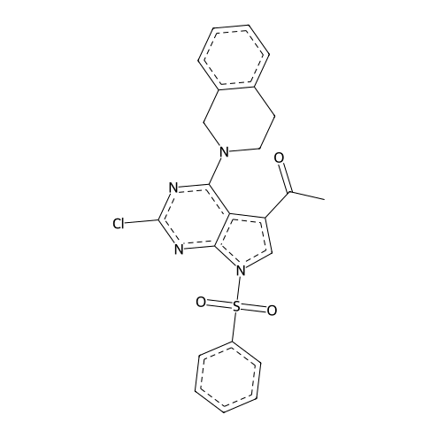 CC(=O)c1cn(S(=O)(=O)c2ccccc2)c2nc(Cl)nc(N3CCc4ccccc4C3)c12